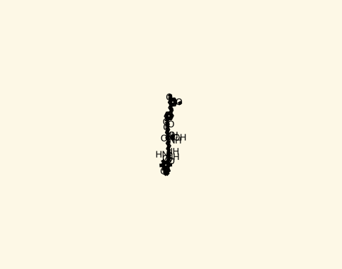 COc1cc(/C=C/c2ccc(OC(=O)OCCNC(=O)C(CCCNC(=N)NS(=O)(=O)c3c(C)c(C)c4c(c3C)CC(C)(C)O4)NC(=O)O)cc2)cc(OC)c1